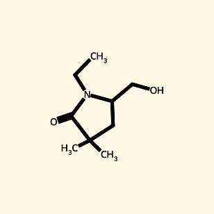 CCN1C(=O)C(C)(C)CC1CO